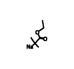 CCOC(=O)[C](C)(C)[Na]